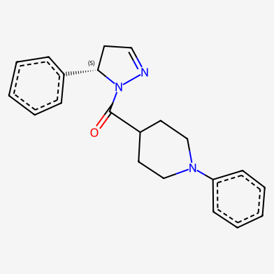 O=C(C1CCN(c2ccccc2)CC1)N1N=CC[C@H]1c1ccccc1